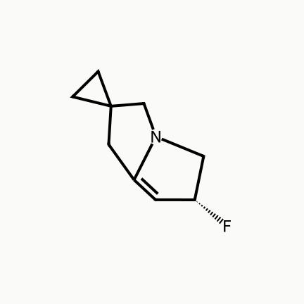 F[C@@H]1C=C2CC3(CC3)CN2C1